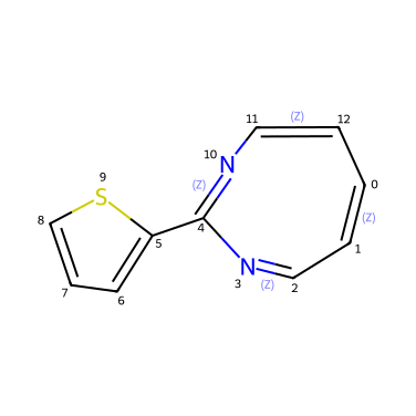 C1=C\C=N/C(c2cccs2)=N\C=C/1